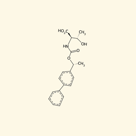 C[C@H](O)[C@@H](NC(=O)O[C@H](C)c1ccc(-c2ccccc2)cc1)C(=O)O